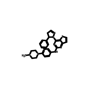 CN1CCN(c2ccc(Nc3nc(N4N=CCC4c4ccccc4)c4sccc4n3)cn2)CC1